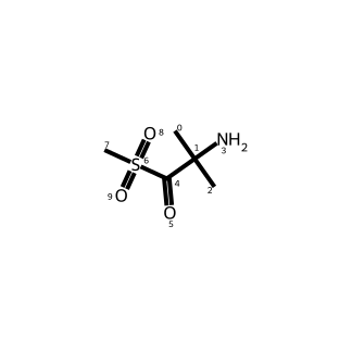 CC(C)(N)C(=O)S(C)(=O)=O